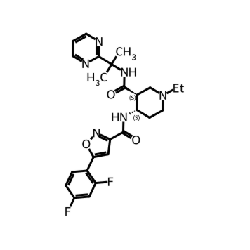 CCN1CC[C@H](NC(=O)c2cc(-c3ccc(F)cc3F)on2)[C@@H](C(=O)NC(C)(C)c2ncccn2)C1